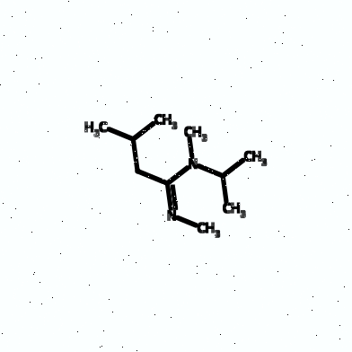 C/N=C(/CC(C)C)N(C)C(C)C